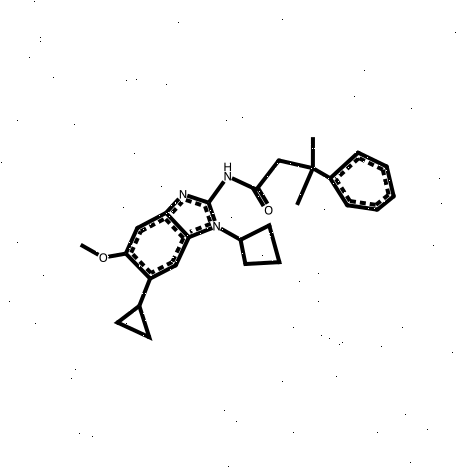 COc1cc2nc(NC(=O)CC(C)(C)c3ccccc3)n(C3CCC3)c2cc1C1CC1